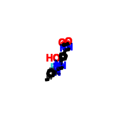 CC[C@@H]1CC[C@H](F)[C@H](N(C)c2cnc(-c3ccc(-c4cnc(OC)c(OC)n4)cc3O)nn2)C1